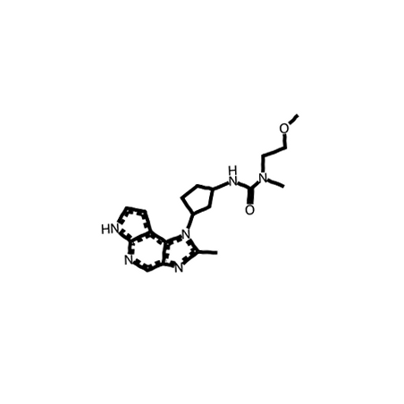 COCCN(C)C(=O)NC1CCC(n2c(C)nc3cnc4[nH]ccc4c32)C1